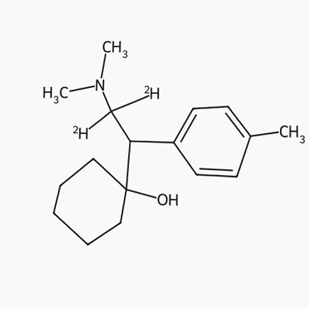 [2H]C([2H])(C(c1ccc(C)cc1)C1(O)CCCCC1)N(C)C